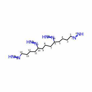 N=NCCCCC(CCCC(CCCCN=N)N=N)N=N